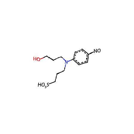 O=Nc1ccc(N(CCCO)CCCS(=O)(=O)O)cc1